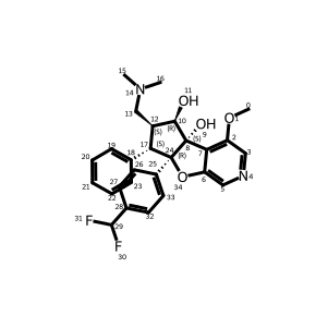 COc1cncc2c1[C@]1(O)[C@H](O)[C@H](CN(C)C)[C@@H](c3ccccc3)[C@]1(c1ccc(C(F)F)cc1)O2